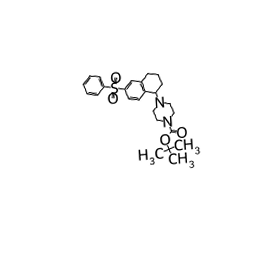 CC(C)(C)OC(=O)N1CCN(C2CCCc3cc(S(=O)(=O)c4ccccc4)ccc32)CC1